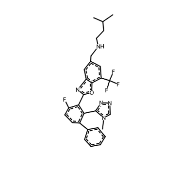 CC(C)CCNCc1cc(C(F)(F)F)c2oc(-c3c(F)ccc(-c4ccccc4)c3-c3nncn3C)nc2c1